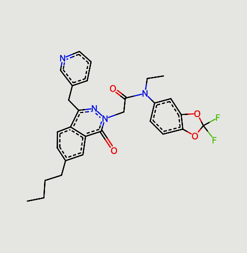 CCCCc1ccc2c(Cc3cccnc3)nn(CC(=O)N(CC)c3ccc4c(c3)OC(F)(F)O4)c(=O)c2c1